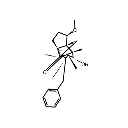 CO[C@@H]1CC[C@@]23CC[C@@H](C)[C@@](C)([C@H](O)C[C@@](C)(Cc4ccccc4)C(=O)[C@@H]2C)[C@@H]13